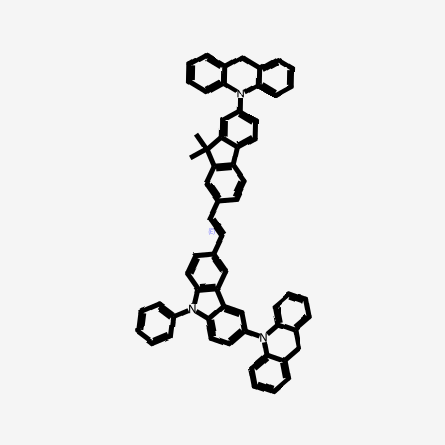 CC1(C)c2cc(/C=C/c3ccc4c(c3)c3cc(N5c6ccccc6Cc6ccccc65)ccc3n4-c3ccccc3)ccc2-c2ccc(N3c4ccccc4Cc4ccccc43)cc21